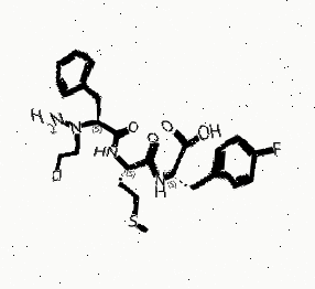 CSCC[C@H](NC(=O)[C@H](Cc1ccccc1)N(N)CCCl)C(=O)N[C@@H](Cc1ccc(F)cc1)C(=O)O